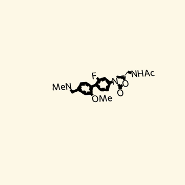 CNCc1ccc(-c2ccc(N3C[C@H](CNC(C)=O)OC3=O)cc2F)c(OC)c1